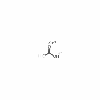 CC(=O)O.[H+].[Zn+2]